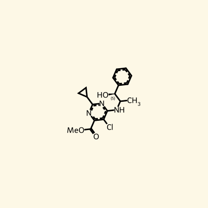 COC(=O)c1nc(C2CC2)nc(NC(C)[C@@H](O)c2ccccc2)c1Cl